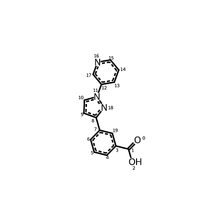 O=C(O)c1cccc(-c2ccn(-c3cccnc3)n2)c1